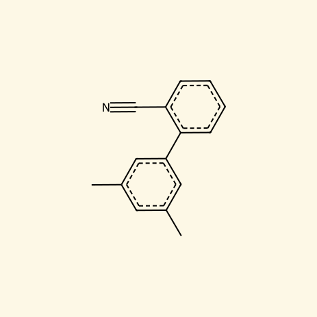 Cc1cc(C)cc(-c2ccccc2C#N)c1